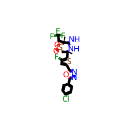 C[C@@]1(c2sc(-c3nnc(-c4ccc(Cl)cc4)o3)cc2F)CS(=O)(=O)[C@](C)(CC(F)(F)F)C(=N)N1